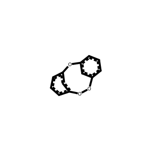 c1cc2cc(c1)Oc1cccc(c1)OO2